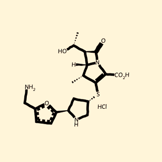 C[C@@H](O)[C@H]1C(=O)N2C(C(=O)O)=C(S[C@@H]3CN[C@@H](c4ccc(CN)o4)C3)[C@H](C)[C@H]12.Cl